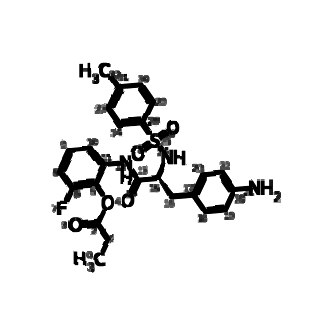 CCC(=O)Oc1c(F)cccc1NC(=O)[C@H](Cc1ccc(N)cc1)NS(=O)(=O)c1ccc(C)cc1